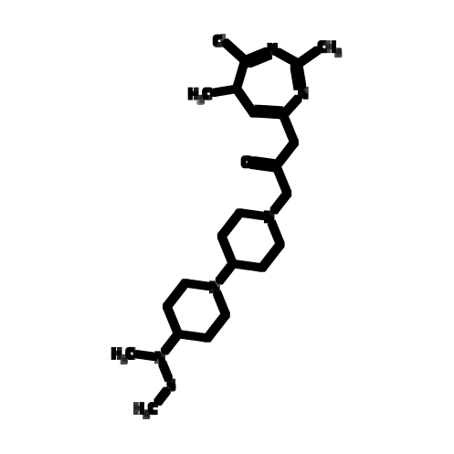 CSN(C)C1CCN(C2CCN(CC(=O)CC3=CC(C)C(Cl)=NC(C)=N3)CC2)CC1